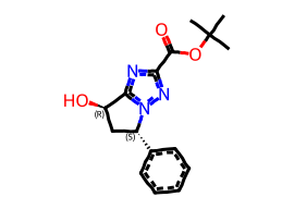 CC(C)(C)OC(=O)c1nc2n(n1)[C@H](c1ccccc1)C[C@H]2O